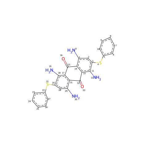 Nc1cc(Sc2ccccc2)c(N)c2c1C(=O)c1c(N)c(Sc3ccccc3)cc(N)c1C2=O